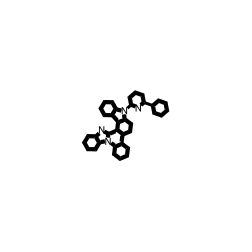 c1ccc(-c2cccc(-n3c4ccccc4c4c5c(ccc43)c3ccccc3n3c4ccccc4nc53)n2)cc1